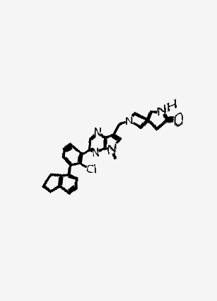 Cn1cc(CN2CC3(CNC(=O)C3)C2)c2ncc(-c3cccc(-c4cccc5c4CCC5)c3Cl)nc21